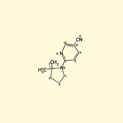 CC1(C)CCCN1c1ccc(C#N)cn1